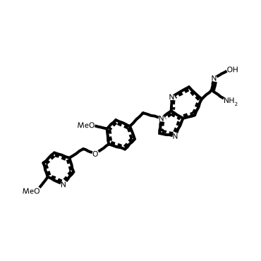 COc1ccc(COc2ccc(Cn3cnc4cc(/C(N)=N/O)cnc43)cc2OC)cn1